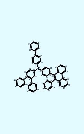 c1ccc(-c2ccc(N(c3ccc(-c4c(-c5ccccc5)c5ccccc5c5ccccc45)cc3)c3ccc(-c4ccccc4)c(-c4ccccc4)c3)cc2)cc1